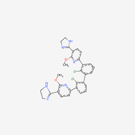 COc1nc(-c2cccc(-c3cccc(-c4ccc(C5=NCCN5)c(OC)n4)c3Cl)c2Cl)ccc1C1=NCCN1